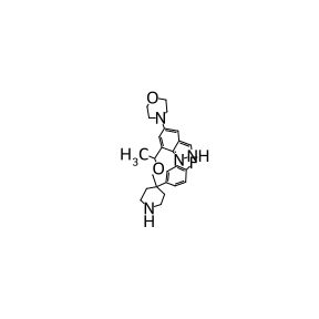 CC(OCC1(c2ccc(F)cc2)CCNCC1)c1cc(N2CCOCC2)cc2c[nH]nc12